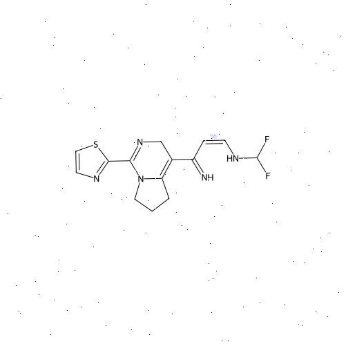 N=C(/C=C\NC(F)F)C1=C2CCCN2C(c2nccs2)=NC1